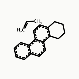 C=CC.c1ccc2c(c1)ccc1c3c(ccc12)CCCC3